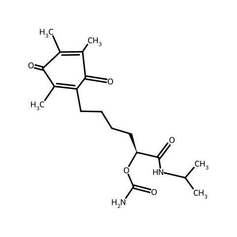 CC1=C(C)C(=O)C(CCCC[C@H](OC(N)=O)C(=O)NC(C)C)=C(C)C1=O